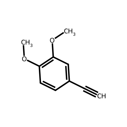 C#Cc1ccc(OC)c(OC)c1